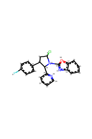 Fc1ccc(C2CC(Cl)N(c3nc4ccccc4o3)C2c2ccccn2)cc1